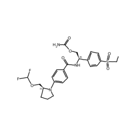 CCS(=O)(=O)c1ccc([C@H](COC(N)=O)NC(=O)c2ccc(N3CCC[C@H]3COC(F)F)cc2)cc1